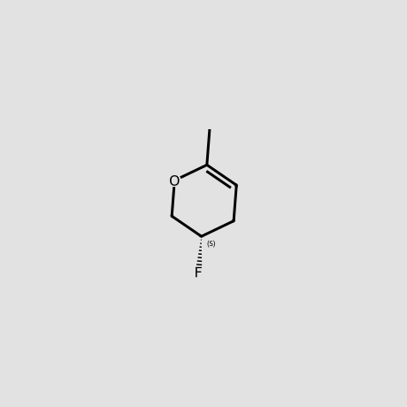 CC1=CC[C@H](F)CO1